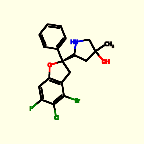 CC1(O)CNC([C@@]2(c3ccccc3)Cc3c(cc(F)c(Cl)c3Br)O2)C1